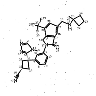 Cn1cnnc1[C@]1(c2cccc(N3Cc4c(cc(CNC5(C)CCC5)cc4C(F)(F)F)C3=O)c2)C[C@@H](C#N)C1